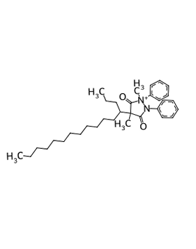 CCCCCCCCCCCCC(CCC)C1(C)C(=O)N(c2ccccc2)[N+](C)(c2ccccc2)C1=O